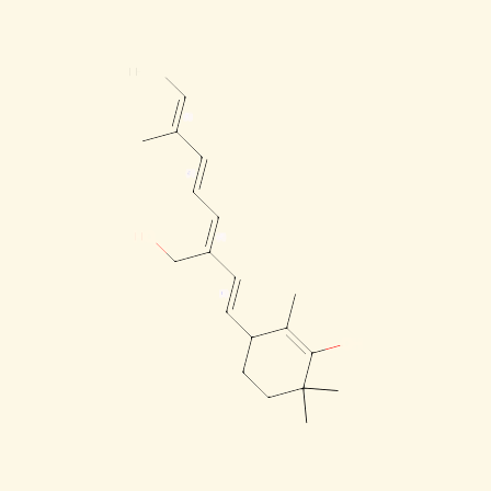 CC1=C(O)C(C)(C)CCC1/C=C/C(=C/C=C/C(C)=C/C(=O)O)CO